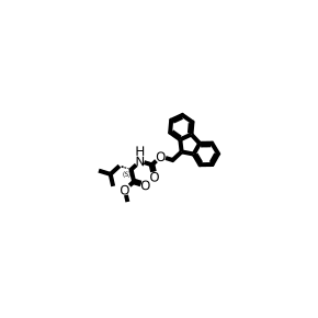 COC(=O)[C@H](CC(C)C)NC(=O)OCC1c2ccccc2-c2ccccc21